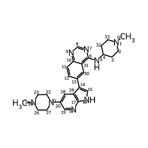 CN1CCC(Nc2ncnc3ccc(-c4c[nH]c5ncc(N6CCN(C)CC6)cc45)cc23)CC1